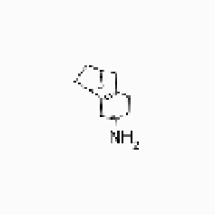 Nc1ccc2c(c1)C1CCC(C2)C1